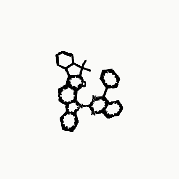 CC1(C)c2oc3c(ccc4c5ccccc5n(-c5nc(-c6ccccc6)c6ccccc6n5)c43)c2C2C=CC=CC21